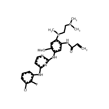 C=CC(=O)Nc1cc(Nc2nccc(Nc3cccc(Cl)c3F)n2)c(OC)cc1N(C)CCN(C)C